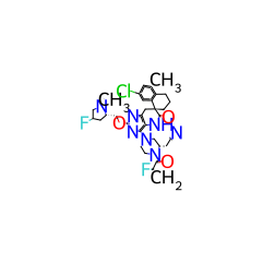 C=C(F)C(=O)N1CCN(c2nc(OC[C@@H]3C[C@@H](F)CN3C)nc3c2NC(=O)[C@]2(CCCc4c(C)cc(Cl)cc42)C3)C[C@@H]1CC#N